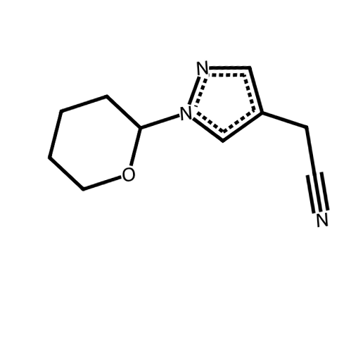 N#CCc1cnn(C2CCCCO2)c1